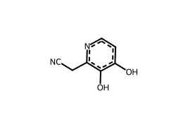 N#CCc1nccc(O)c1O